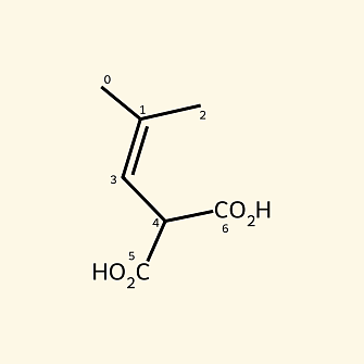 CC(C)=CC(C(=O)O)C(=O)O